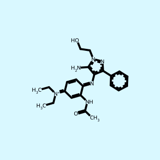 CC[N+](CC)=C1C=CC(=Nc2c(-c3ccccc3)nn(CCO)c2N)C(NC(C)=O)=C1